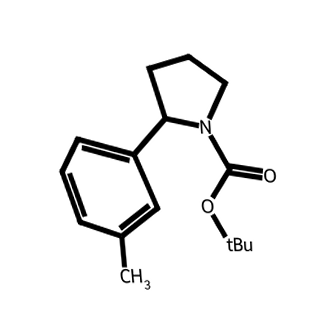 Cc1cccc(C2CCCN2C(=O)OC(C)(C)C)c1